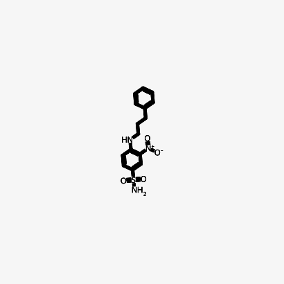 NS(=O)(=O)c1ccc(NCCCc2ccccc2)c([N+](=O)[O-])c1